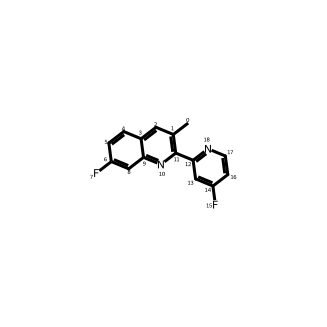 Cc1cc2ccc(F)cc2nc1-c1cc(F)ccn1